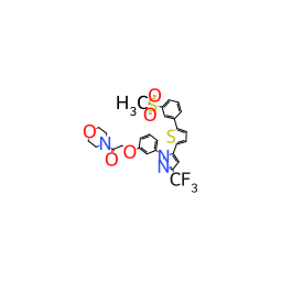 CS(=O)(=O)c1cccc(-c2ccc(-c3cc(C(F)(F)F)nn3-c3cccc(OCC(=O)N4CCOCC4)c3)s2)c1